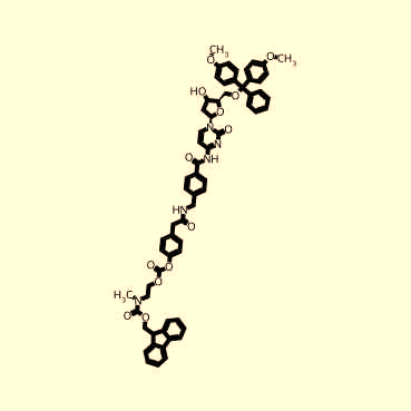 COc1ccc(C(OC[C@H]2O[C@@H](n3ccc(NC(=O)c4ccc(CNC(=O)Cc5ccc(OC(=O)OCCN(C)C(=O)OCC6c7ccccc7-c7ccccc76)cc5)cc4)nc3=O)CC2O)(c2ccccc2)c2ccc(OC)cc2)cc1